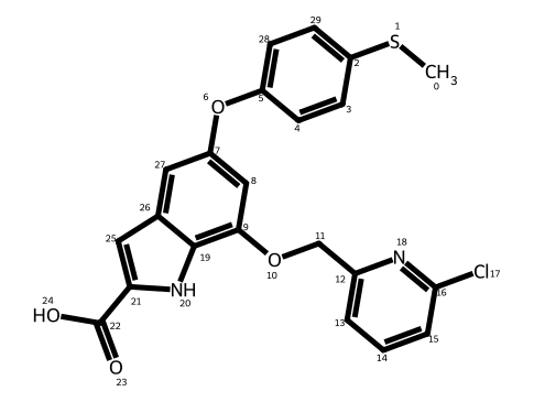 CSc1ccc(Oc2cc(OCc3cccc(Cl)n3)c3[nH]c(C(=O)O)cc3c2)cc1